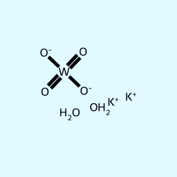 O.O.[K+].[K+].[O]=[W](=[O])([O-])[O-]